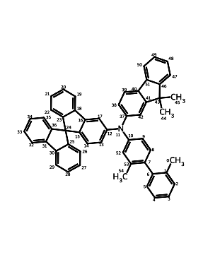 Cc1ccccc1-c1ccc(N(c2ccc3c(c2)-c2ccccc2C32c3ccccc3-c3ccccc32)c2ccc3c(c2)C(C)(C)c2ccccc2-3)cc1C